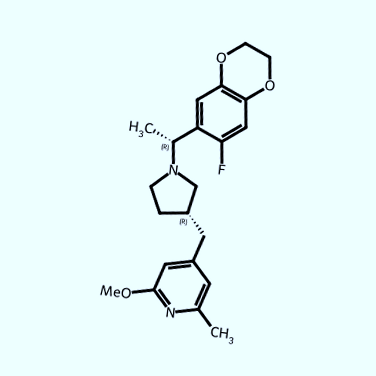 COc1cc(C[C@@H]2CCN([C@H](C)c3cc4c(cc3F)OCCO4)C2)cc(C)n1